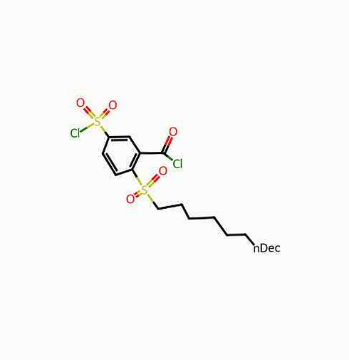 CCCCCCCCCCCCCCCCS(=O)(=O)c1ccc(S(=O)(=O)Cl)cc1C(=O)Cl